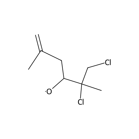 C=C(C)CC([O])C(C)(Cl)CCl